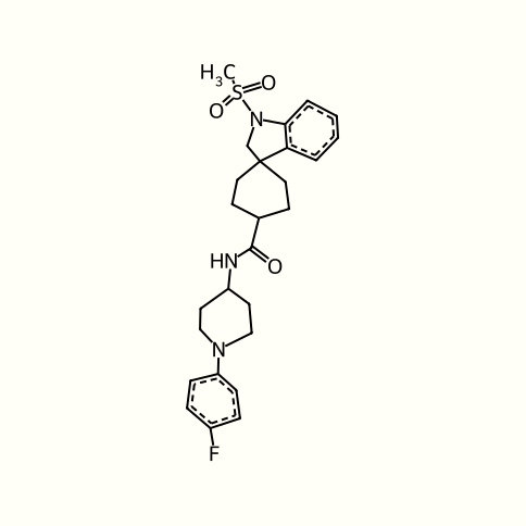 CS(=O)(=O)N1CC2(CCC(C(=O)NC3CCN(c4ccc(F)cc4)CC3)CC2)c2ccccc21